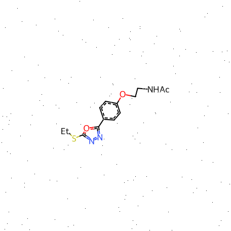 CCSc1nnc(-c2ccc(OCCNC(C)=O)cc2)o1